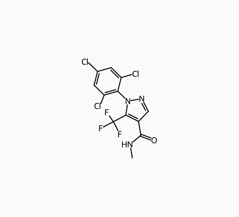 CNC(=O)c1cnn(-c2c(Cl)cc(Cl)cc2Cl)c1C(F)(F)F